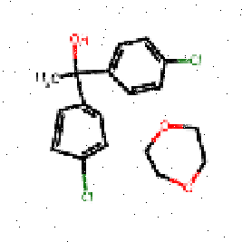 C1COCCO1.CC(O)(c1ccc(Cl)cc1)c1ccc(Cl)cc1